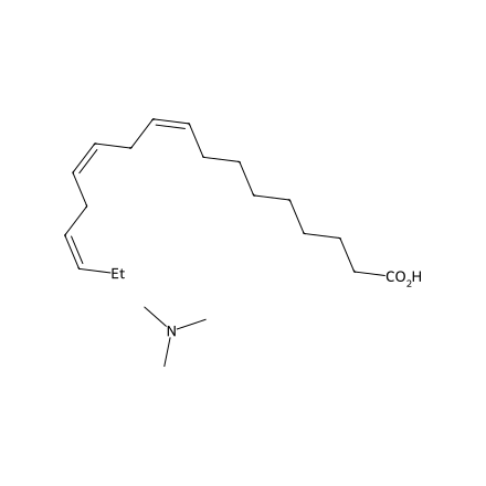 CC/C=C\C/C=C\C/C=C\CCCCCCCC(=O)O.CN(C)C